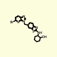 OC1CCCCC1Nc1nc2ccc(Cn3cnc4ccc(Br)nc43)cc2s1